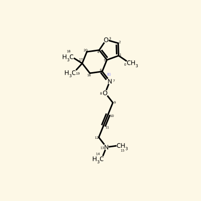 Cc1coc2c1/C(=N/OCC#CCN(C)C)CC(C)(C)C2